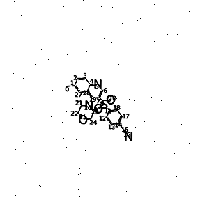 Cc1ccc2ncc(S(=O)(=O)c3ccc(C#N)cc3)c(N3CCOCC3)c2c1